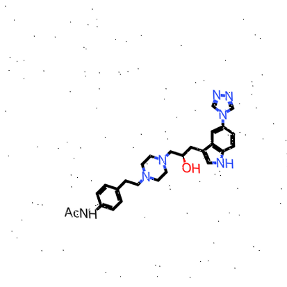 CC(=O)Nc1ccc(CCN2CCN(C[C@H](O)Cc3c[nH]c4ccc(-n5cnnc5)cc34)CC2)cc1